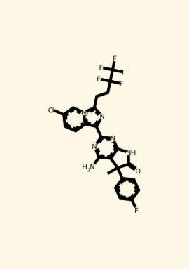 CC1(c2ccc(F)cc2)C(=O)Nc2nc(-c3nc(CCC(F)(F)C(F)(F)F)n4cc(Cl)ccc34)nc(N)c21